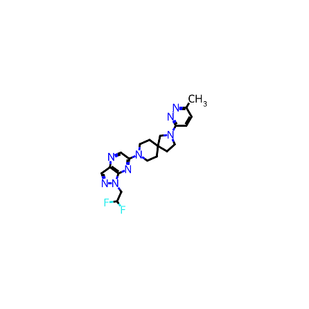 Cc1ccc(N2CCC3(CCN(c4cnc5cnn(CC(F)F)c5n4)CC3)C2)nn1